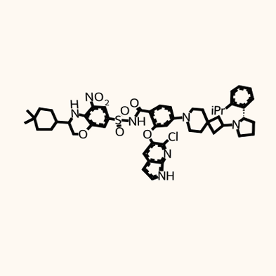 CC(C)c1ccccc1[C@@H]1CCCN1C1CC2(CCN(c3ccc(C(=O)NS(=O)(=O)c4cc5c(c([N+](=O)[O-])c4)NC(C4CCC(C)(C)CC4)CO5)c(Oc4cc5cc[nH]c5nc4Cl)c3)CC2)C1